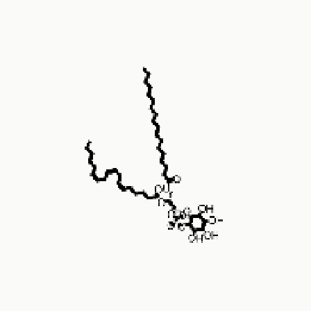 CCCCC/C=C\C/C=C\C/C=C\CCCCC(=O)O[C@H](COC(=O)CCCCCCCCCCCCCCCCC)COP(=O)(O)OC1C(O)C(O)C(O)[C@@H](O)C1O